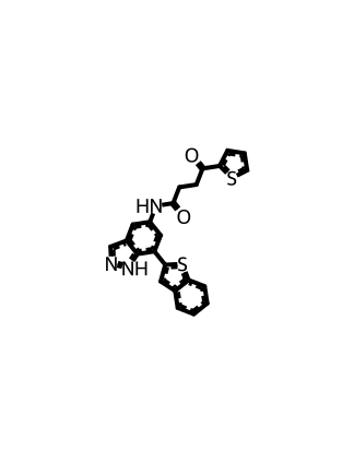 O=C(CCC(=O)c1cccs1)Nc1cc(-c2cc3ccccc3s2)c2[nH]ncc2c1